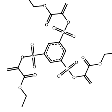 C=C(OS(=O)(=O)c1cc(S(=O)(=O)OC(=C)C(=O)OCC)cc(S(=O)(=O)OC(=C)C(=O)OCC)c1)C(=O)OCC